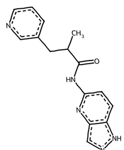 CC(Cc1cccnc1)C(=O)Nc1ccc2[nH]ncc2n1